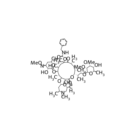 CON=C1C[C@@H](C)O[C@@H](O[C@@H]2[C@@H](C)[C@H](O[C@H]3C[C@H](C)N(C)C[C@H](C)O3)[C@@H](C)C(=O)O[C@@H](C(C)CO[C@@H]3O[C@H](C)[C@@H](O)[C@@H](OC)[C@H]3OC)[C@@H](C)[CH][C@@H](C)C(=O)[C@@](C)(OC(=O)NCc3ccccc3)C[C@@H]2C)[C@@H]1O